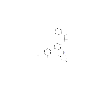 CC(C)(Oc1ccc(-c2ccc(O)c(O)c2)cc1/C=C1/SC(=S)NC1=O)C(=O)c1ccccc1